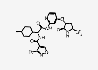 CCc1nocc1C(=O)N[C@H](C(=O)Nc1cc(O[C@H]2C[C@@H](C(F)(F)F)NC2=O)ccn1)C1CCC(C)CC1